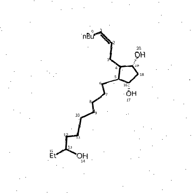 CCCC/C=C\CC1C(CCCCCCCC(O)CC)[C@@H](O)C[C@H]1O